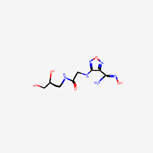 N/C(=N\O)c1nonc1NCC(=O)NCC(O)CO